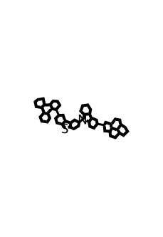 c1cc2ccc3cc(-c4ccc5c(c4)c4ccccc4n5-c4ccc5sc6ccc(-c7cccc8c9ccccc9c9ccccc9c78)cc6c5c4)cc4ccc(c1)c2c34